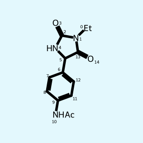 CCN1C(=O)NC(c2ccc(NC(C)=O)cc2)C1=O